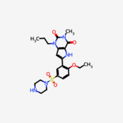 CCCn1c(=O)n(C)c(=O)c2[nH]c(-c3cc(S(=O)(=O)N4CCNCC4)ccc3OCC)cc21